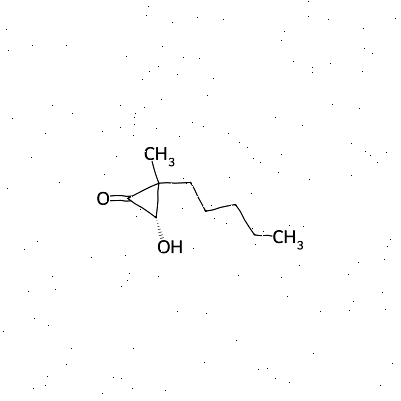 CCCCCC1(C)C(=O)[C@H]1O